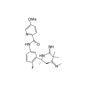 C/N=[S@]1/C[C@@](C)(c2cc(NC(=O)c3ccc(OC)cn3)ccc2F)NC(=N)C1(C)C